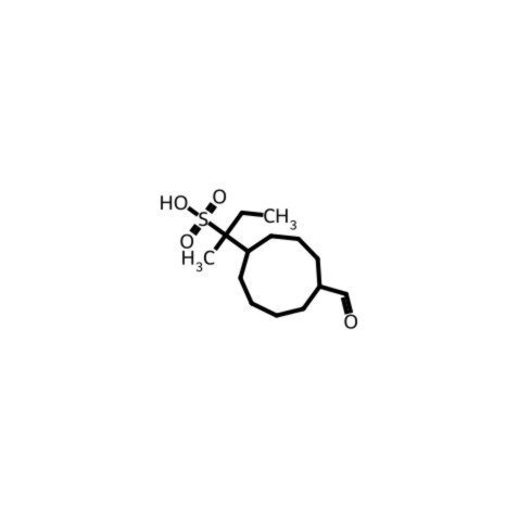 CCC(C)(C1CCCCC(C=O)CCC1)S(=O)(=O)O